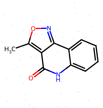 Cc1onc2c1c(=O)[nH]c1ccccc12